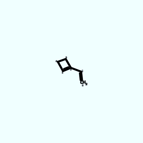 C=[C]C1=CCC1